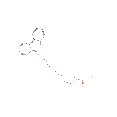 C[C@@H](CCCOCCOc1nc2cc(C(=O)O)ccc2c2cnccc12)NC(=O)OC(C)(C)C